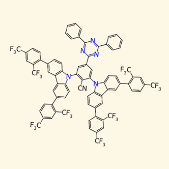 N#Cc1c(-n2c3ccc(-c4ccc(C(F)(F)F)cc4C(F)(F)F)cc3c3cc(-c4ccc(C(F)(F)F)cc4C(F)(F)F)ccc32)cc(-c2nc(-c3ccccc3)nc(-c3ccccc3)n2)cc1-n1c2ccc(-c3ccc(C(F)(F)F)cc3C(F)(F)F)cc2c2cc(-c3ccc(C(F)(F)F)cc3C(F)(F)F)ccc21